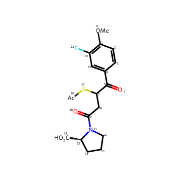 COc1ccc(C(=O)C(CC(=O)N2CCC[C@H]2C(=O)O)SC(C)=O)cc1F